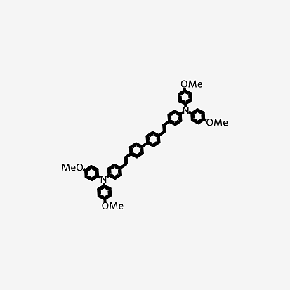 COc1ccc(N(c2ccc(/C=C/c3ccc(-c4ccc(/C=C/c5ccc(N(c6ccc(OC)cc6)c6ccc(OC)cc6)cc5)cc4)cc3)cc2)c2ccc(OC)cc2)cc1